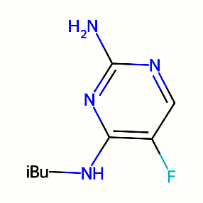 CCC(C)Nc1nc(N)ncc1F